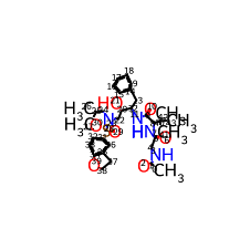 CC(=O)NCC(=O)NC(C(=O)NC(Cc1ccccc1)C(O)CN(CC(C)C)S(=O)(=O)c1ccc2c(c1)CCO2)C(C)(C)C